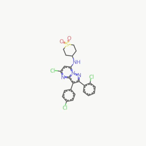 O=S1(=O)CCC(Nc2cc(Cl)nc3c(-c4ccc(Cl)cc4)c(-c4ccccc4Cl)nn23)CC1